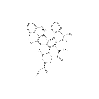 C=CC(=O)N1CC(C)N2c3c(c(=O)n(-c4c(C)ccnc4C(C)C)c4nc(-c5c(O)cccc5F)c(Cl)cc34)N(C)C(=O)C2C1